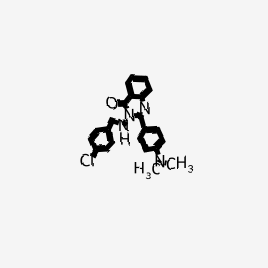 CN(C)c1ccc(-c2nc3ccccc3c(=O)n2NCc2ccc(Cl)cc2)cc1